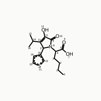 CCCCC(C(=O)O)N1C(=O)C(O)=C(C(C)C)C1c1ccsc1